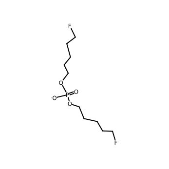 [O]P(=O)(OCCCCCF)OCCCCCF